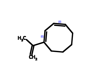 C=C(C)/C1=C/C=C\CCCC1